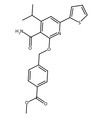 COC(=O)c1ccc(COc2nc(-c3cccs3)cc(C(C)C)c2C(N)=O)cc1